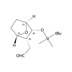 CC(C)(C)[Si](C)(C)O[C@@H]1[C@H](CC=O)[C@@H]2CC[C@@H]1O2